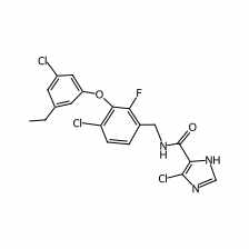 CCc1cc(Cl)cc(Oc2c(Cl)ccc(CNC(=O)c3[nH]cnc3Cl)c2F)c1